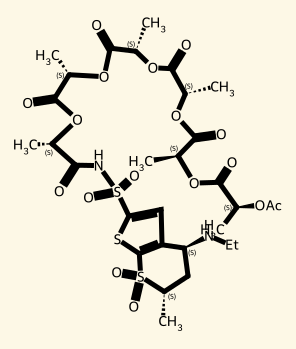 CCN[C@H]1C[C@H](C)S(=O)(=O)c2sc(S(=O)(=O)NC(=O)[C@H](C)OC(=O)[C@H](C)OC(=O)[C@H](C)OC(=O)[C@H](C)OC(=O)[C@H](C)OC(=O)[C@H](C)OC(C)=O)cc21